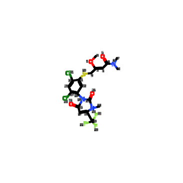 COC(=CC(=O)N(C)C)CSc1cc(-n2c(=O)cc(C(F)(F)F)n(C)c2=O)c(Cl)cc1Cl